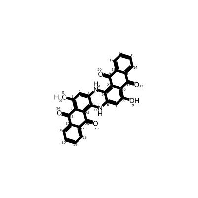 Cc1cc2[nH]c3c(cc(O)c4c(=O)c5ccccc5c(=O)c43)[nH]c2c2c(=O)c3ccccc3c(=O)c12